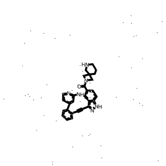 Nc1cc(-c2ccccc2C#Cc2n[nH]c3ccc(C(=O)N4CC5(CCCNC5)C4)cc23)ccn1